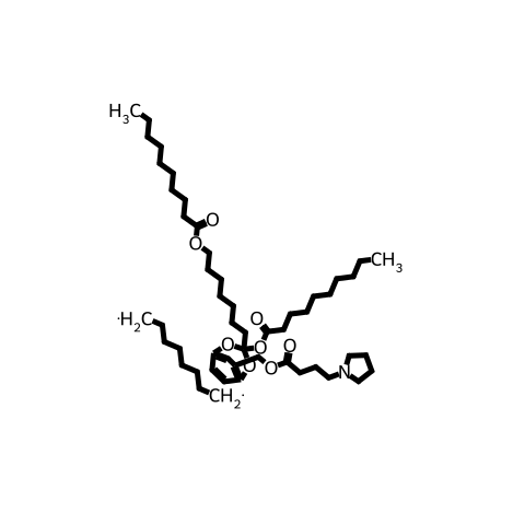 CCCCCCCCCC(=O)OCCCCCCCC1(OC(=O)CCCCCCCCC)Oc2ccc(c(COC(=O)CCCN3CCCC3)c2)O1.[CH2]CCCCCC[CH2]